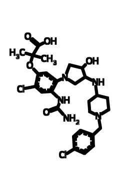 CC(C)(Oc1cc(N2CC(O)C(NC3CCN(Cc4ccc(Cl)cc4)CC3)C2)c(NC(N)=O)cc1Cl)C(=O)O